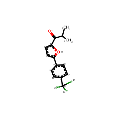 CC(C)C(=O)c1ccc(-c2ccc(C(F)(F)F)cc2)o1